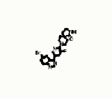 O=C1NCCC12CCN(c1ncc(-c3ncnc4ccc(Br)cc34)cc1F)CC2